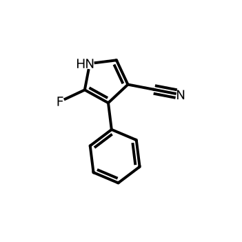 N#Cc1c[nH]c(F)c1-c1ccccc1